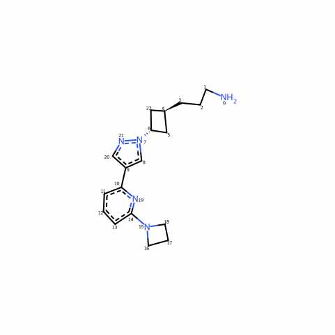 NCCC[C@H]1C[C@H](n2cc(-c3cccc(N4CCC4)n3)cn2)C1